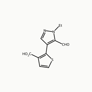 CCn1ncc(-c2sccc2C(=O)O)c1C=O